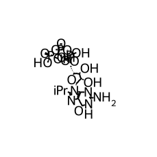 CC(C)c1nc2c(=O)[nH]c(N)nc2n1[C@@H]1O[C@H](COP(=O)(O)OP(=O)(O)OP(=O)(O)O)[C@@H](O)[C@H]1O